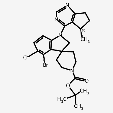 C[C@@H]1CCc2ncnc(N3CC4(CCN(C(=O)OC(C)(C)C)CC4)c4c3ccc(Cl)c4Br)c21